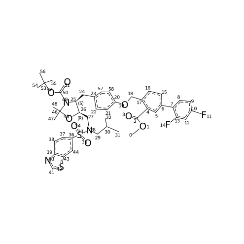 COC(=O)c1cc(-c2ccc(F)cc2F)ccc1COc1ccc(C[C@H]2[C@@H](CN(CC(C)C)S(=O)(=O)c3ccc4ncsc4c3)OC(C)(C)N2C(=O)OC(C)(C)C)cc1